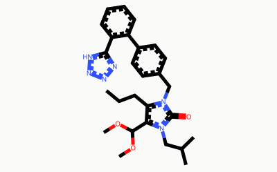 CCCc1c(C(OC)OC)n(CC(C)C)c(=O)n1Cc1ccc(-c2ccccc2-c2nnn[nH]2)cc1